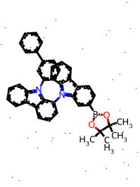 CC1(C)OB(c2ccc3c4ccccc4n(-c4cccc5c6ccccc6n(-c6cccc(-c7ccccc7)c6)c45)c3c2)OC1(C)C